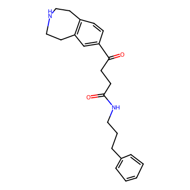 O=C(CCC(=O)c1ccc2c(c1)CCNCC2)NCCCc1ccccc1